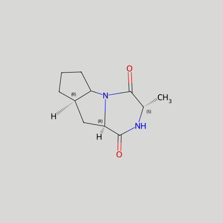 C[C@@H]1NC(=O)[C@H]2C[C@H]3CCCC3N2C1=O